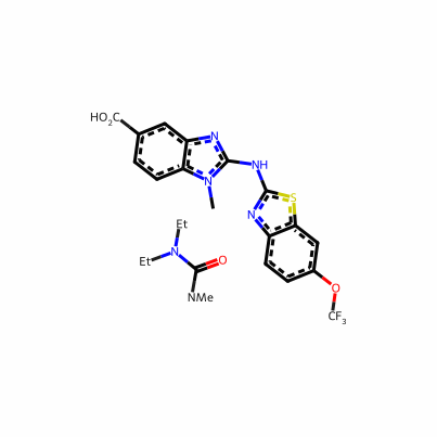 CCN(CC)C(=O)NC.Cn1c(Nc2nc3ccc(OC(F)(F)F)cc3s2)nc2cc(C(=O)O)ccc21